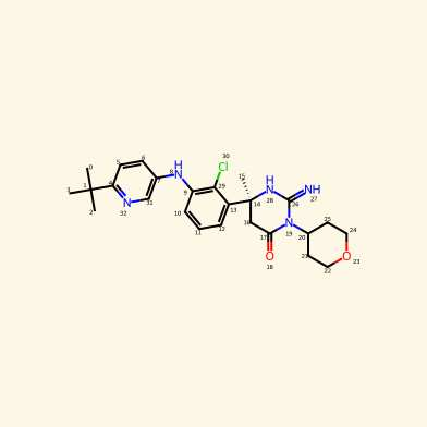 CC(C)(C)c1ccc(Nc2cccc([C@]3(C)CC(=O)N(C4CCOCC4)C(=N)N3)c2Cl)cn1